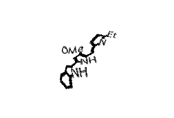 CCC1=N/C(=C/c2[nH]c(-c3cc4ccccc4[nH]3)cc2OC)C=C1